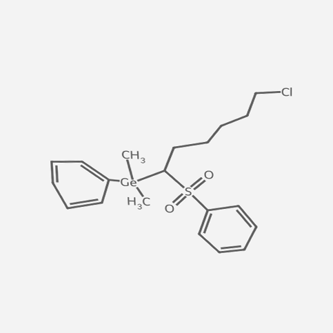 [CH3][Ge]([CH3])([c]1ccccc1)[CH](CCCCCCl)S(=O)(=O)c1ccccc1